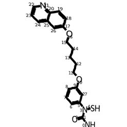 NC(=O)N(S)c1cccc(OCCCCCOc2ccc3ncccc3c2)c1